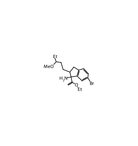 C=C(OCC)C1(N)c2cc(Br)ccc2CC1CCC(CC)OC